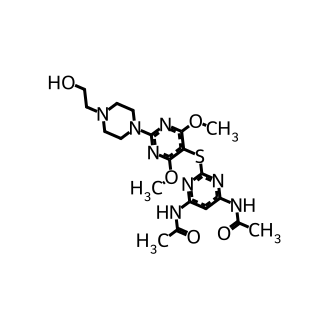 COc1nc(N2CCN(CCO)CC2)nc(OC)c1Sc1nc(NC(C)=O)cc(NC(C)=O)n1